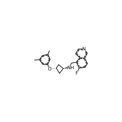 Cc1cc(C)cc(O[C@H]2C[C@H](NCc3c(F)ccc4cnccc34)C2)c1